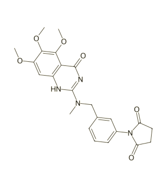 COc1cc2[nH]c(N(C)Cc3cccc(N4C(=O)CCC4=O)c3)nc(=O)c2c(OC)c1OC